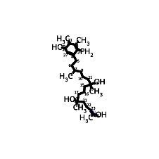 CC1=C(P)C(CCC(C)CCCC(C)(O)CCCC(C)(O)CC/C=C(\C)O)=CC(O)C1C